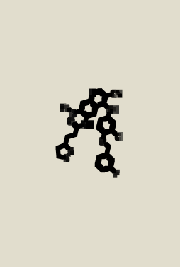 CCOc1cc2ncc(C#N)c(Nc3ccc(OCc4cccc(F)c4)c(Cl)c3)c2cc1NC(=O)CCC1CCSS1